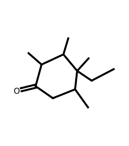 CCC1(C)C(C)CC(=O)C(C)C1C